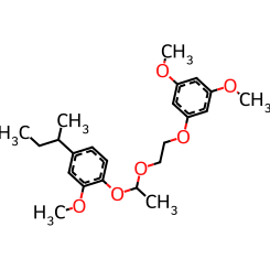 CCC(C)c1ccc(OC(C)OCCOc2cc(OC)cc(OC)c2)c(OC)c1